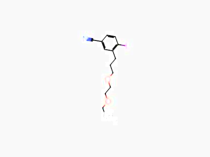 CCOCCOCCCc1cc(C#N)ccc1I